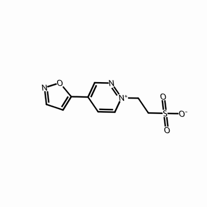 O=S(=O)([O-])CC[n+]1ccc(-c2ccno2)cn1